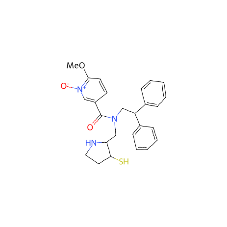 COc1ccc(C(=O)N(CC(c2ccccc2)c2ccccc2)CC2NCCC2S)c[n+]1[O-]